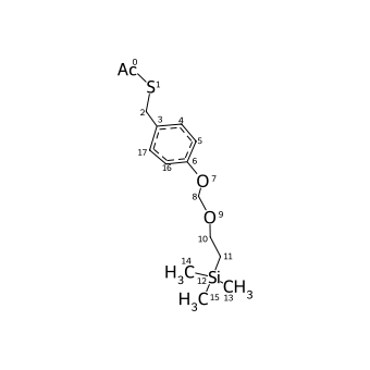 CC(=O)SCc1ccc(OCOCC[Si](C)(C)C)cc1